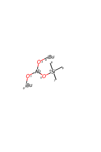 CCC(C)[O][Al]([O]C(C)CC)[O][Si](C)(C)C